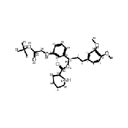 COc1ccc(CC[C@@H](OC(=O)C2CCCCN2)c2cccc(OCC(=O)OC(C)(C)C)c2)cc1OC